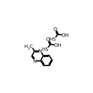 Cc1cnc2ccccc2n1.O=C(O)S.O=C(O)S